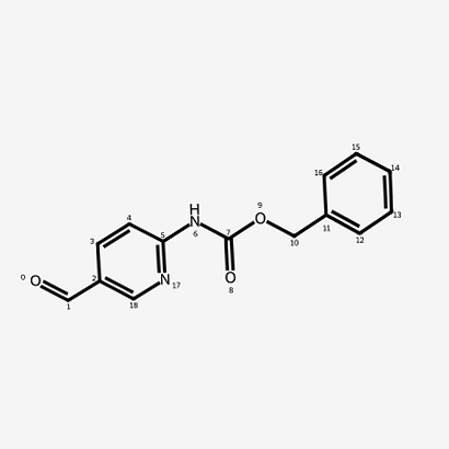 O=Cc1ccc(NC(=O)OCc2ccccc2)nc1